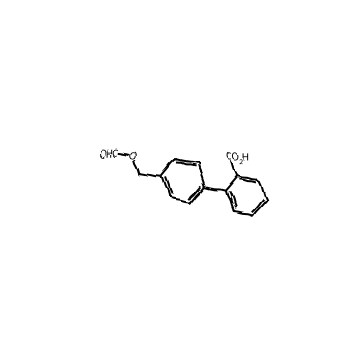 O=COCc1ccc(-c2ccccc2C(=O)O)cc1